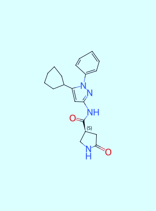 O=C1C[C@H](C(=O)Nc2cc(C3CCCCC3)n(-c3ccccc3)n2)CN1